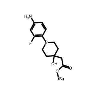 CC(C)(C)OC(=O)CC1(O)CCN(c2ccc(N)cc2F)CC1